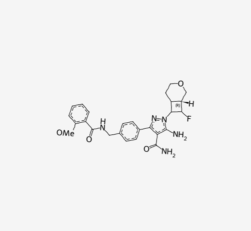 COc1ccccc1C(=O)NCc1ccc(-c2nn(C3C(F)[C@H]4COCCC34)c(N)c2C(N)=O)cc1